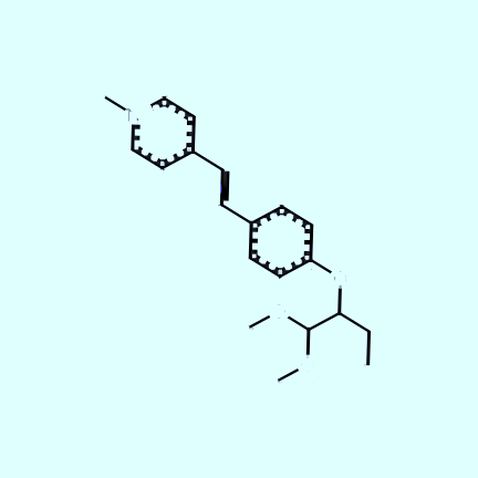 CCC(Oc1ccc(/C=C/c2cc[n+](C)cc2)cc1)C(OC)OC